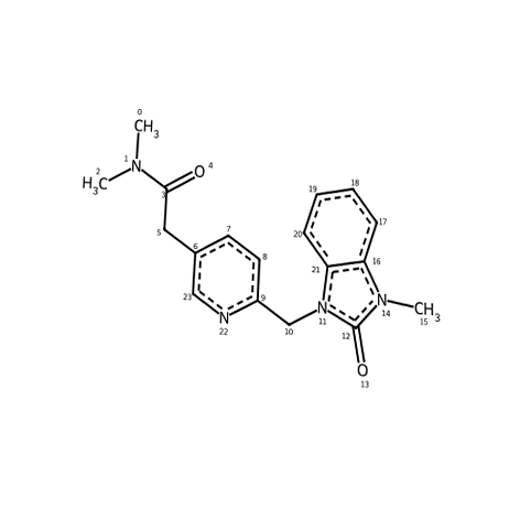 CN(C)C(=O)Cc1ccc(Cn2c(=O)n(C)c3ccccc32)nc1